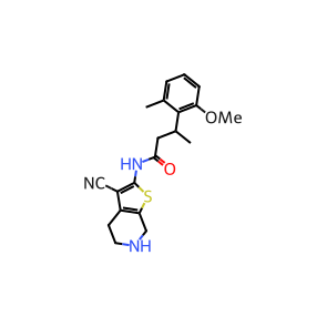 COc1cccc(C)c1C(C)CC(=O)Nc1sc2c(c1C#N)CCNC2